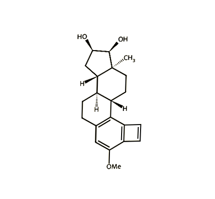 COc1cc2c(c3c1C=C3)[C@H]1CC[C@]3(C)[C@H](O)[C@H](O)C[C@H]3[C@@H]1CC2